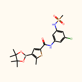 Cc1sc(C(=O)Nc2cc(Cl)cc(NS(C)(=O)=O)c2)cc1B1OC(C)(C)C(C)(C)O1